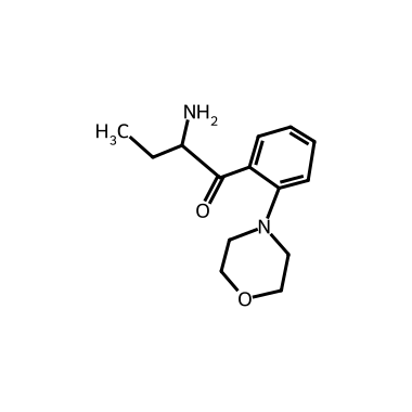 CCC(N)C(=O)c1ccccc1N1CCOCC1